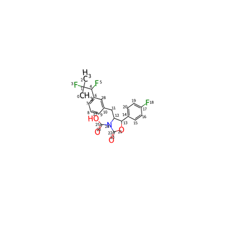 CC(C)(F)C(F)c1cccc(CC2C(c3ccc(F)cc3)OC(=O)N2C(=O)O)c1